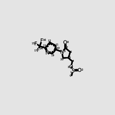 CS(=O)OCC1CC(=O)N(c2ccc(C(F)(F)F)nc2)C1